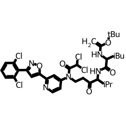 C=C(NC(C(=O)NC(C(=O)CCN(C(=O)C(Cl)Cl)c1ccnc(-c2cc(-c3c(Cl)cccc3Cl)no2)c1)C(C)C)C(C)CC)OC(C)(C)C